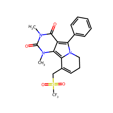 Cn1c(=O)c2c(-c3ccccc3)n3c(c2n(C)c1=O)C(CS(=O)(=O)C(F)(F)F)=CCC3